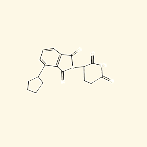 O=C1CCC(N2C(=O)c3cccc(C4CCCC4)c3C2=O)C(=O)N1